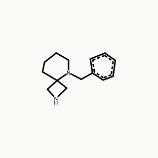 c1ccc(CN2CCCCC23CNC3)cc1